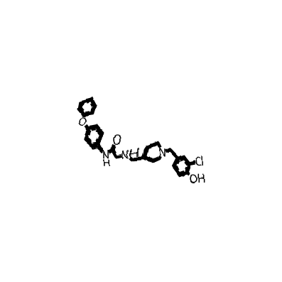 O=C(CNCC1CCN(Cc2ccc(O)c(Cl)c2)CC1)Nc1ccc(Oc2ccccc2)cc1